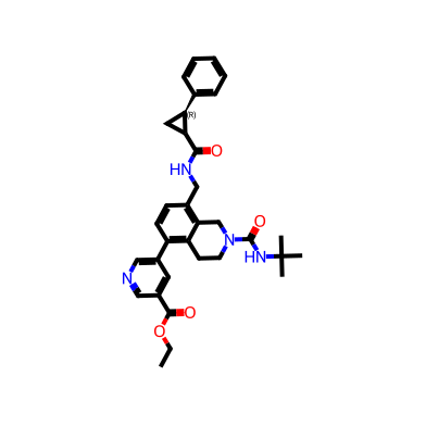 CCOC(=O)c1cncc(-c2ccc(CNC(=O)C3C[C@H]3c3ccccc3)c3c2CCN(C(=O)NC(C)(C)C)C3)c1